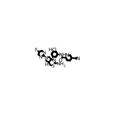 Cl.N#Cc1ccc(C(=O)Nc2cccc([C@]34CN(c5ncc(F)cn5)C[C@H]3CSC(N)=N4)c2)nc1